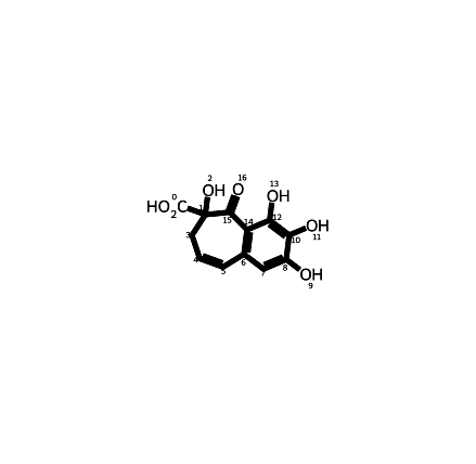 O=C(O)C1(O)CC=Cc2cc(O)c(O)c(O)c2C1=O